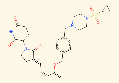 C=C(/C=C\C=C1/CCN(C2CCC(=O)NC2=O)C1=O)OCc1ccc(CN2CCN(S(=O)(=O)C3CC3)CC2)cc1